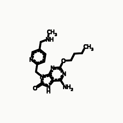 CCCCOc1nc(N)c2[nH]c(=O)n(Cc3ccc(CNC)cn3)c2n1